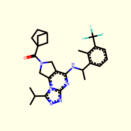 Cc1c(C(C)Nc2nc3nnc(C(C)C)n3c3c2CN(C(=O)C24CCC(C2)C4)C3)cccc1C(F)(F)F